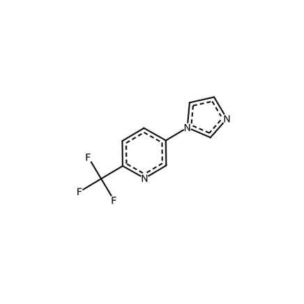 FC(F)(F)c1ccc(-n2ccnc2)cn1